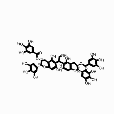 NCC(c1c(O)cc2c(c1O)C[C@@H](OC(=O)c1cc(O)c(O)c(O)c1)[C@@H](c1cc(O)c(O)c(O)c1)O2)c1c(O)cc2c(c1O)C[C@@H](OC(=O)c1cc(O)c(O)c(O)c1)[C@@H](c1cc(O)c(O)c(O)c1)O2